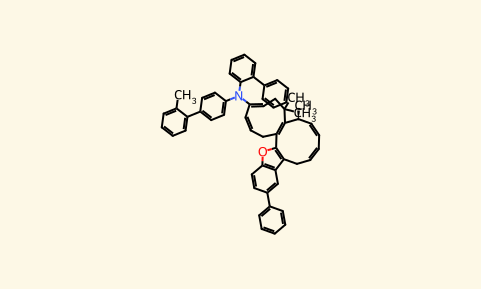 Cc1ccccc1-c1ccc(N(C2=C\CC(C)(C)/C3=C(\C/C=C\2)c2oc4ccc(-c5ccccc5)cc4c2C/C=C\C=C/[C@@H]3C)c2ccccc2-c2ccccc2)cc1